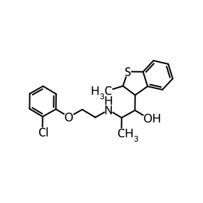 CC(NCCOc1ccccc1Cl)C(O)C1c2ccccc2SC1C